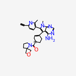 C#Cc1ccc(-c2c(C3=CC[C@H](C(=O)N4CCCC45COC5)CC3)c3c(N)ncnc3n2C)c(C)n1